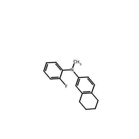 CN(c1ccc2c(c1)CCCC2)c1ccccc1F